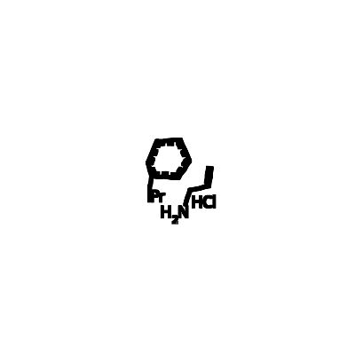 C=CCN.CC(C)c1ccccc1.Cl